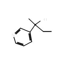 CCC(C)(O)c1cccnc1